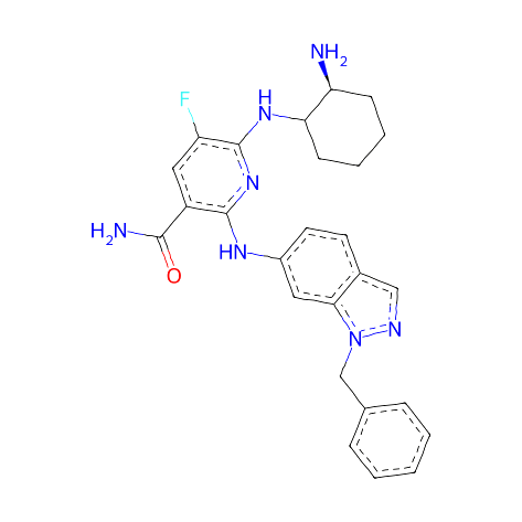 NC(=O)c1cc(F)c(NC2CCCC[C@@H]2N)nc1Nc1ccc2cnn(Cc3ccccc3)c2c1